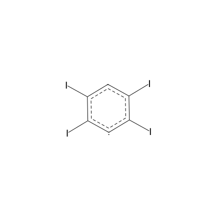 Ic1[c]c(I)c(I)cc1I